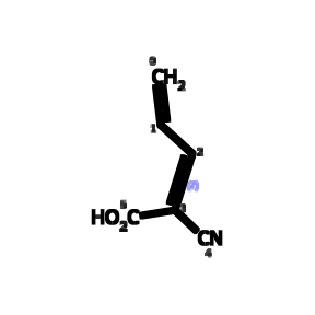 C=C/C=C(/C#N)C(=O)O